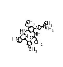 C=CC(=O)Nc1cc(Nc2nc(-c3ccn(C)c3)c3cc[nH]c3n2)c(OC)cc1N1CC(N(C)C)C1